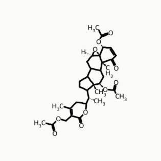 CC(=O)OCC1=C(C)CC([C@@H](C)C2CCC3C4C[C@H]5O[C@]56[C@H](OC(C)=O)C=CC(=O)[C@]6(C)C4C[C@@H](OC(C)=O)[C@@]32C)OC1=O